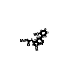 CNC(=O)Cc1c[nH]c2nnc(-c3ccccc3O)cc12